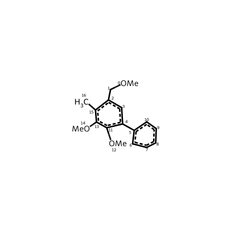 COCc1cc(-c2ccccc2)c(OC)c(OC)c1C